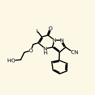 N#Cc1nn2c(=O)c(I)c(COCCO)[nH]c2c1-c1ccccc1